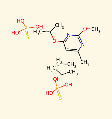 CC.CCC.COc1nc(C)cc(OC(C)C)n1.OP(O)(O)=S.OP(O)(O)=S